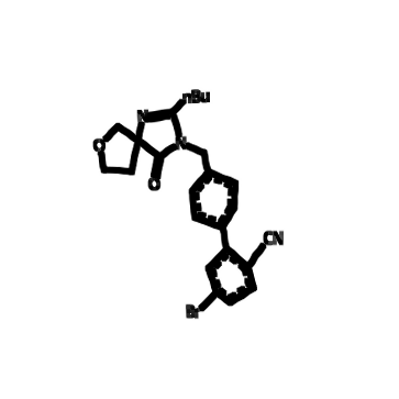 CCCCC1=NC2(CCOC2)C(=O)N1Cc1ccc(-c2cc(Br)ccc2C#N)cc1